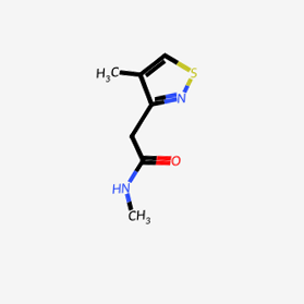 CNC(=O)Cc1nscc1C